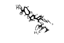 CN(CC1CC1)C(=O)OCc1c(-c2ccc(O[C@H]3CCCC(C(=O)O)C3)c(F)n2)cnn1C